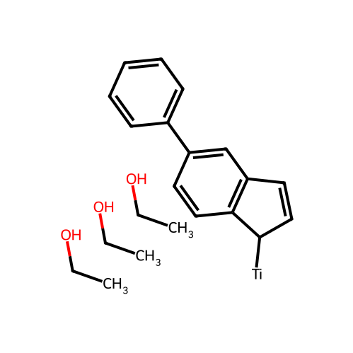 CCO.CCO.CCO.[Ti][CH]1C=Cc2cc(-c3ccccc3)ccc21